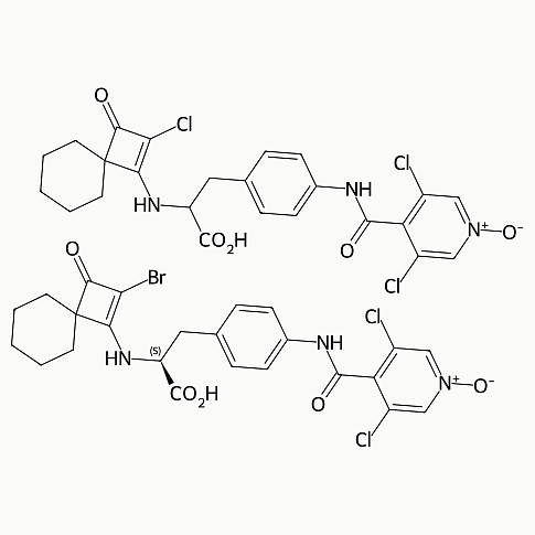 O=C(Nc1ccc(CC(NC2=C(Cl)C(=O)C23CCCCC3)C(=O)O)cc1)c1c(Cl)c[n+]([O-])cc1Cl.O=C(Nc1ccc(C[C@H](NC2=C(Br)C(=O)C23CCCCC3)C(=O)O)cc1)c1c(Cl)c[n+]([O-])cc1Cl